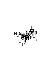 CCNC(=O)c1cc2nc(Nc3c(Cl)cc(F)cc3Cl)n(C)c2nc1OCC